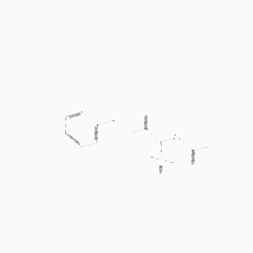 CC(=O)NC(C(=O)OCc1ccccc1)P(C)(C)=O